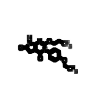 O=C1Cc2c(nc(OCCC(F)(F)F)n(-c3ccc(OCC(F)(F)F)cc3)c2=O)N1